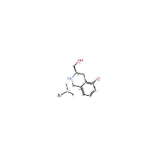 C[SiH](C)C(C)(C)C.OC[C@H]1Cc2c(Br)cccc2CN1